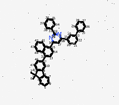 CC1(C)c2ccccc2-c2cc(-c3ccc(-c4cc(-c5cccc(-c6ccccc6)c5)nc(-c5ccccc5)n4)c4ccccc34)ccc21